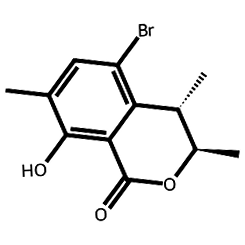 Cc1cc(Br)c2c(c1O)C(=O)O[C@H](C)[C@H]2C